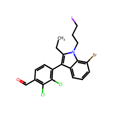 CCc1c(-c2ccc(C=O)c(Cl)c2Cl)c2cccc(Br)c2n1CCCI